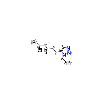 CC(C)Cn1nncc1CCCCC(C)C(C)C